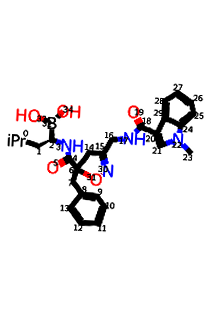 CC(C)C[C@H](NC(=O)C1(Cc2ccccc2)CC(CNC(=O)c2cn(C)c3ccccc23)=NO1)B(O)O